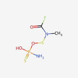 CN(SOP(N)(O)=S)C(=O)F